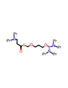 CC(C)N(CCC(=O)SCOCCCOP(N(C(C)C)C(C)C)N(C(C)C)C(C)C)C(C)C